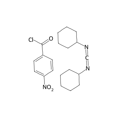 C(=NC1CCCCC1)=NC1CCCCC1.O=C(Cl)c1ccc([N+](=O)[O-])cc1